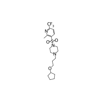 Cc1nc(C(F)(F)F)ccc1S(=O)(=O)N1CCN(CCCOC2CCCC2)CC1